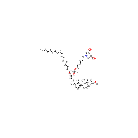 CCCCCCCC/C=C\CCCCCCCCOC(CC[C@@H](C)C1CCC2C3CCC4C[C@H](OC)CC[C@]4(C)C3CC[C@@]21C)O[Si](C)(C)OCCCCCCN(CCO)CCO